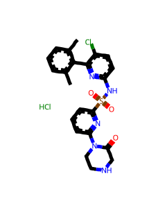 Cc1cccc(C)c1-c1nc(NS(=O)(=O)c2cccc(N3CCNCC3=O)n2)ccc1Cl.Cl